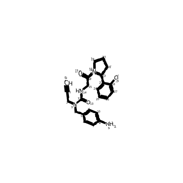 C#CCN(Cc1ccc(N)cc1)C(=O)NCC(=O)N1CCCC1c1ccccc1Cl